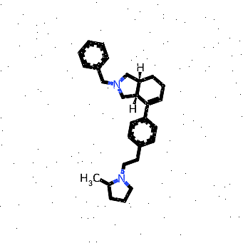 CC1CCCN1CCc1ccc(C2=CCC[C@H]3CN(Cc4ccccc4)C[C@@H]23)cc1